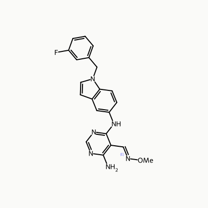 CO/N=C/c1c(N)ncnc1Nc1ccc2c(ccn2Cc2cccc(F)c2)c1